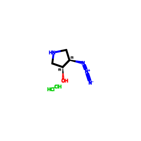 Cl.Cl.[N-]=[N+]=N[C@@H]1CNC[C@H]1O